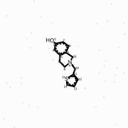 Oc1ccc2c(c1)CCN(Cc1cccs1)C2